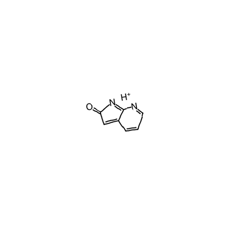 O=C1C=c2cccnc2=N1.[H+]